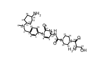 CN(Cc1ccc(-n2ccc(NC(=O)N3CCN(C(=O)C(N)CO)CC3)nc2=O)cc1)C1CCC(N)CC1